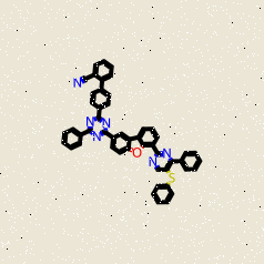 N#Cc1ccccc1-c1ccc(-c2nc(-c3ccccc3)nc(-c3ccc4oc5c(-c6ncc(Sc7ccccc7)c(-c7ccccc7)n6)cccc5c4c3)n2)cc1